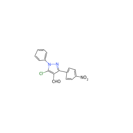 O=Cc1c(-c2ccc([N+](=O)[O-])cc2)nn(-c2ccccc2)c1Cl